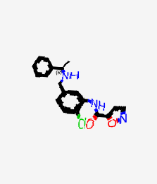 C[C@@H](NCc1ccc(Cl)c(NC(=O)c2ccno2)c1)c1ccccc1